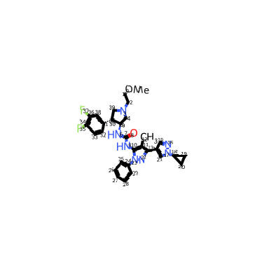 COCCN1C[C@@H](NC(=O)Nc2c(C)c(-c3cnn(C4CC4)c3)nn2-c2ccccc2)[C@H](c2ccc(F)c(F)c2)C1